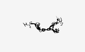 CCCCOCCOc1ccc(-c2ccc3c(c2)C=C(C(=O)OC)CCN3Cn2cnnn2)cc1